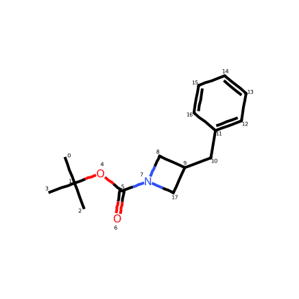 CC(C)(C)OC(=O)N1CC(Cc2ccccc2)C1